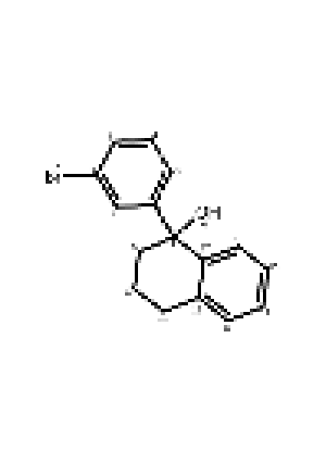 OC1(c2cccc(Br)c2)CCCc2ccccc21